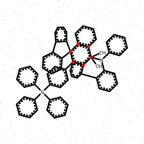 CC1(C)c2ccccc2C2(c3ccccc3-c3ccccc32)c2cccc(-c3ccccc3N(c3ccccc3)c3cccc(-c4ccc([Si](c5ccccc5)(c5ccccc5)c5ccccc5)cc4)c3)c21